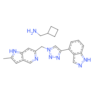 Cc1cc2cnc(Cn3cc(-c4cccc5[nH]ncc45)nn3)cc2[nH]1.NCC1CCC1